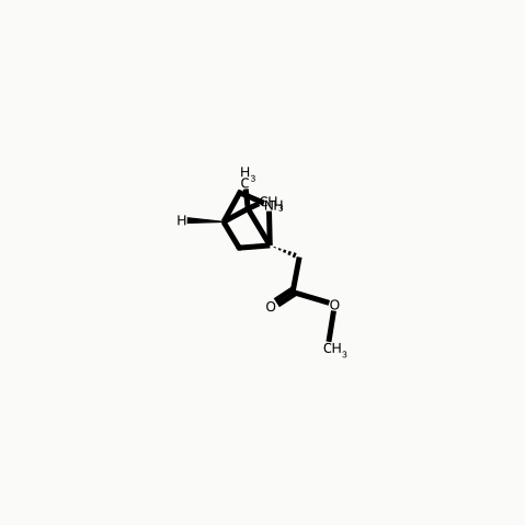 COC(=O)C[C@@]12C[C@H](CN1)C2(C)C